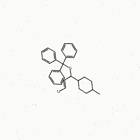 [Li]/[CH]=C/C(OC(c1ccccc1)(c1ccccc1)c1ccccc1)C1CCC(C)CC1